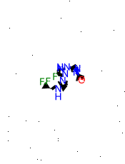 Fc1cnc(Nc2cnn(C3COC3)c2)nc1N1CC2CC2(NCC[C@@H]2CC2(F)F)C1